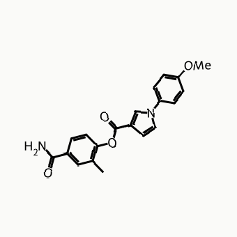 COc1ccc(-n2ccc(C(=O)Oc3ccc(C(N)=O)cc3C)c2)cc1